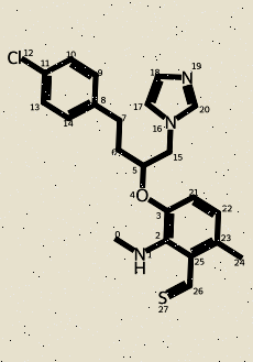 CNc1c(OC(CCc2ccc(Cl)cc2)Cn2ccnc2)ccc(C)c1C=S